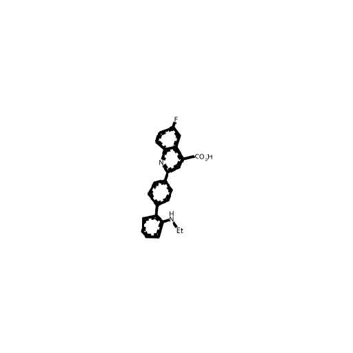 CCNc1ccccc1-c1ccc(-c2cc(C(=O)O)c3cc(F)ccc3n2)cc1